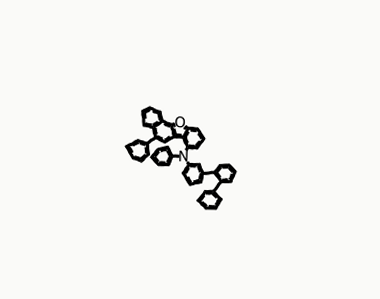 c1ccc(-c2ccccc2-c2cccc(N(c3ccccc3)c3cccc4oc5c6ccccc6c(-c6ccccc6)cc5c34)c2)cc1